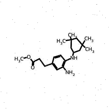 COC(=O)CCc1ccc(NC2CC(C)(C)CC(C)(C)C2)c(N)c1